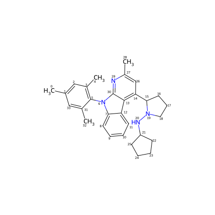 Cc1cc(C)c(-n2c3ccccc3c3c(C4CCCN4NC4CCCC4)cc(C)nc32)c(C)c1